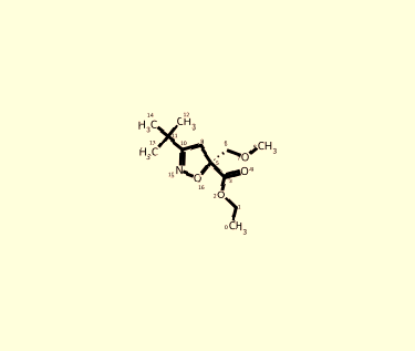 CCOC(=O)[C@]1(COC)CC(C(C)(C)C)=NO1